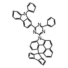 c1ccc(-c2nc(-c3ccc4c5ccccc5n(-c5ccccc5)c4c3)nc(-n3c4cccc5c4c4c6c(cccc6ccc43)C53c4ccccc4-c4ccccc43)n2)cc1